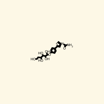 NC(=O)Nc1csc(-c2ccc(OC(O)C(O)C(O)C(O)CCO)cc2)c1